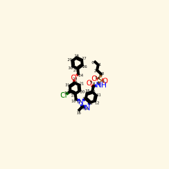 CCCCS(=O)(=O)NC(=O)c1ccc2nc(C)n(Cc3ccc(OCc4ccccc4)cc3Cl)c2c1